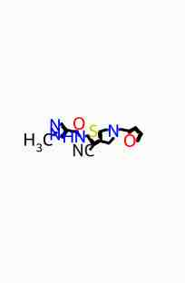 Cn1cc(C(=O)Nc2sc3c(c2C#N)CCN(Cc2ccco2)C3)cn1